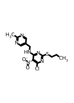 CCCSc1nc(Cl)c([N+](=O)[O-])c(NCc2cnc(C)nc2)n1